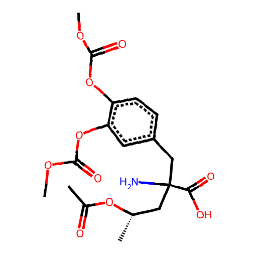 COC(=O)Oc1ccc(CC(N)(C[C@H](C)OC(C)=O)C(=O)O)cc1OC(=O)OC